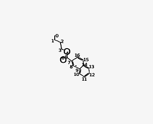 CCCCOC(=O)c1[c]c2ccccc2cc1